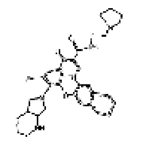 O=C(NCCN1CCCC1)c1cn2c3c(c(N4CC5CCCNC5C4)c(F)cc3c1=O)Oc1cc3ccccc3cc1-2